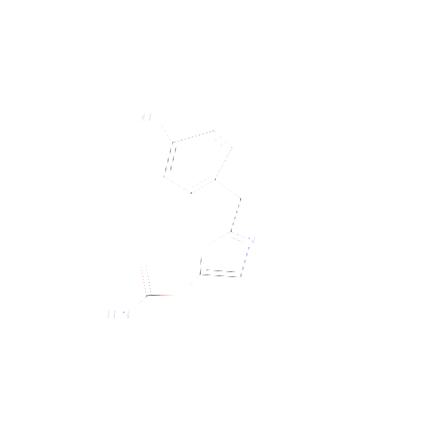 NC(=O)Oc1cnc(Cc2ccc(C=O)cc2)s1